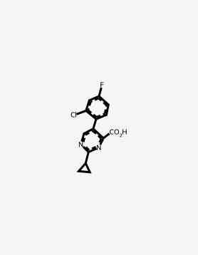 O=C(O)c1nc(C2CC2)ncc1-c1ccc(F)cc1Cl